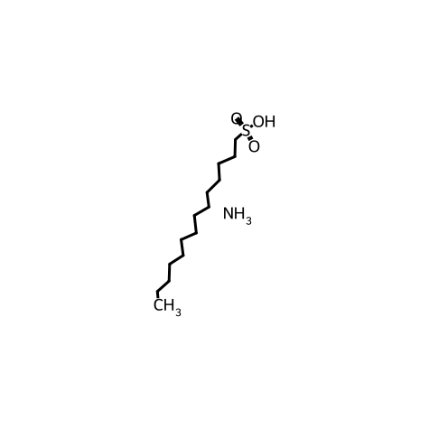 CCCCCCCCCCCCCCS(=O)(=O)O.N